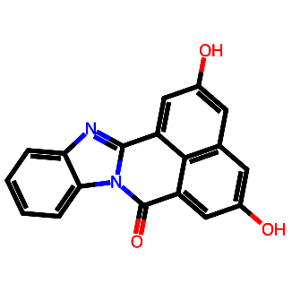 O=c1c2cc(O)cc3cc(O)cc(c32)c2nc3ccccc3n12